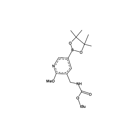 COc1ncc(B2OC(C)(C)C(C)(C)O2)cc1CNC(=O)OC(C)(C)C